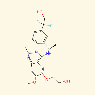 COc1cc2nc(C)nc(N[C@H](C)c3cccc(C(F)(F)CO)c3)c2cc1OCCO